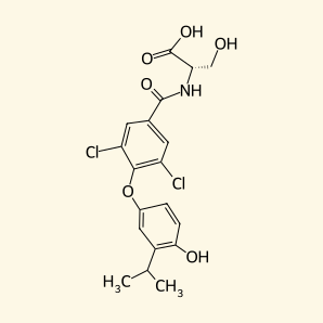 CC(C)c1cc(Oc2c(Cl)cc(C(=O)N[C@@H](CO)C(=O)O)cc2Cl)ccc1O